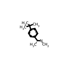 C=N[C@H](C)c1ccc(C(C)(C)C)cc1